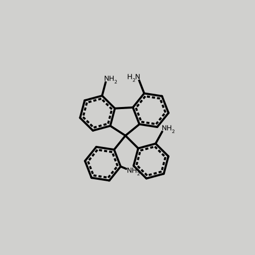 Nc1ccccc1C1(c2ccccc2N)c2cccc(N)c2-c2c(N)cccc21